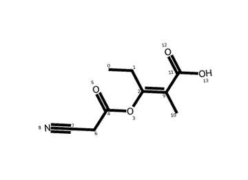 CC/C(OC(=O)CC#N)=C(/C)C(=O)O